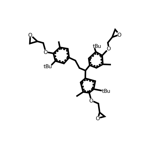 Cc1cc(CCC(c2cc(C)c(OCC3CO3)c(C(C)(C)C)c2)c2cc(C)c(OCC3CO3)c(C(C)(C)C)c2)cc(C(C)(C)C)c1OCC1CO1